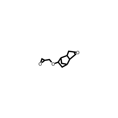 C1OC1COC1CC2CC1C1CC3OC3C21